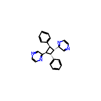 c1ccc([C@H]2[C@H](c3cnccn3)[C@H](c3ccccc3)[C@H]2c2cnccn2)cc1